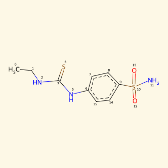 CCNC(=S)Nc1ccc(S(N)(=O)=O)cc1